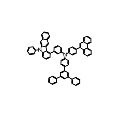 c1ccc(-c2cc(-c3ccccc3)cc(-c3ccc(N(c4ccc(-c5cc6ccccc6c6ccccc56)cc4)c4cccc(-c5cccc6c5c5cc7ccccc7cc5n6-c5ccccc5)c4)cc3)c2)cc1